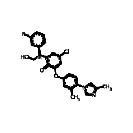 Cc1cn(-c2ccc(Oc3cc(Cl)cn([C@@H](CO)c4cccc(F)c4)c3=O)cc2C)cn1